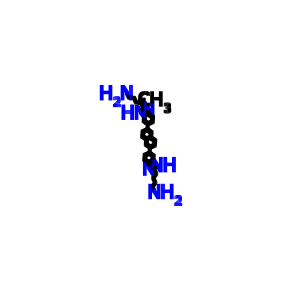 CC(CCCN)c1nc2ccc(-c3ccc4cc(-c5ccc6nc(CCCCN)[nH]c6c5)ccc4c3)cc2[nH]1